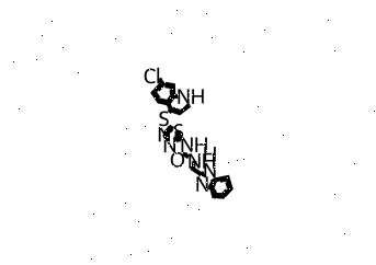 O=C(NCc1nc2ccccc2[nH]1)Nc1nnc(SC2=CCNc3cc(Cl)ccc32)s1